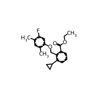 CCOC(=O)c1cccc(C2CC2)c1COc1cc(F)c(C)cc1C